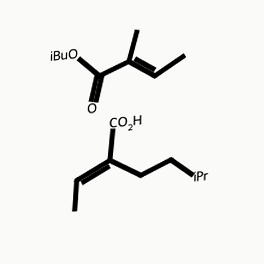 C/C=C(\C)C(=O)OCC(C)C.C/C=C(\CCC(C)C)C(=O)O